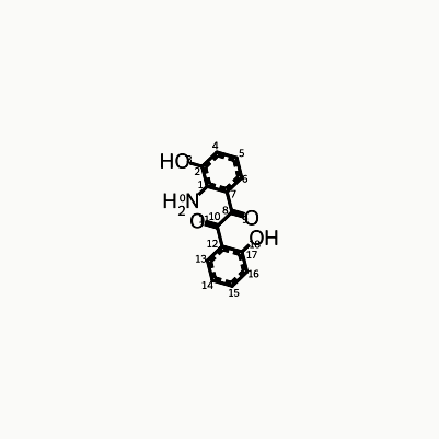 Nc1c(O)cccc1C(=O)C(=O)c1ccccc1O